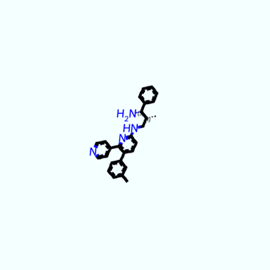 Cc1cccc(-c2ccc(NC[C@@H](C)[C@H](N)c3ccccc3)nc2-c2ccncc2)c1